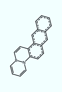 C1=CB2C=Cc3c(ccc4cc5ccccc5cc34)N2C=C1